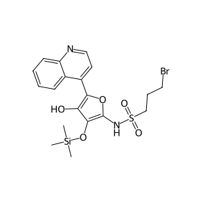 C[Si](C)(C)Oc1c(NS(=O)(=O)CCCBr)oc(-c2ccnc3ccccc23)c1O